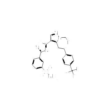 NS(=O)(=O)c1cccc(-c2noc(-c3cnn(CF)c3CCc3ccc(C(F)(F)F)cc3)n2)c1